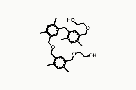 Cc1cc(C)c(COCc2cc(Cc3cc(COCCO)c(C)cc3C)c(C)cc2C)cc1COCCO